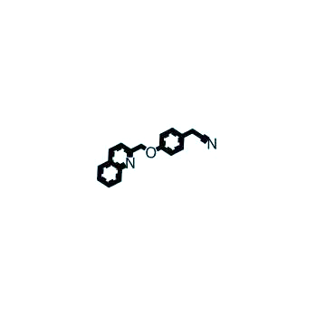 N#CCc1ccc(OCc2ccc3ccccc3n2)cc1